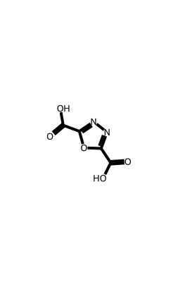 O=C(O)c1nnc(C(=O)O)o1